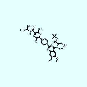 COc1cc2nc(N3CCN(c4nc(N)c(C(=O)NC(=N)N)nc4Cl)CC3)nc(N3CCNCC3C(=O)OC(C)(C)C)c2cc1OC